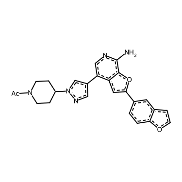 CC(=O)N1CCC(n2cc(-c3cnc(N)c4oc(-c5ccc6occc6c5)cc34)cn2)CC1